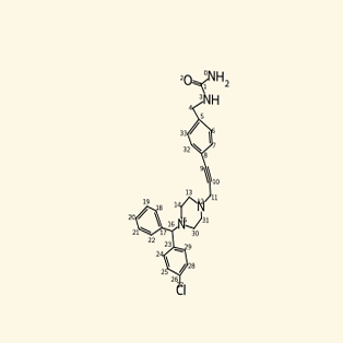 NC(=O)NCc1ccc(C#CCN2CCN(C(c3ccccc3)c3ccc(Cl)cc3)CC2)cc1